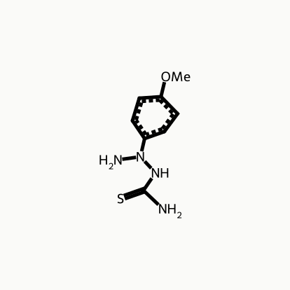 COc1ccc(N(N)NC(N)=S)cc1